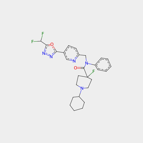 O=C(N(Cc1ccc(-c2nnc(C(F)F)o2)cn1)c1ccccc1)C1(F)CCN(C2CCCCC2)CC1